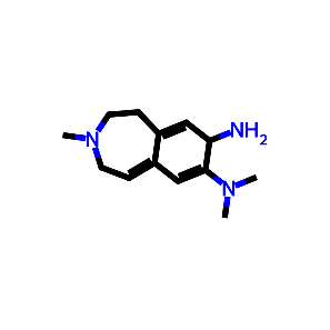 CN1CC=C2C=C(N(C)C)C(N)C=C2CC1